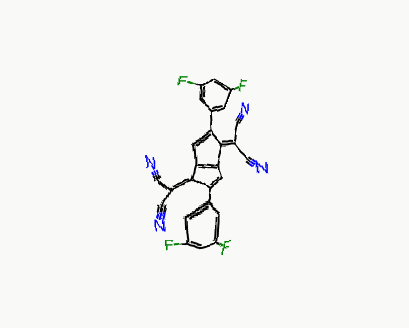 N#CC(C#N)=C1C(c2cc(F)cc(F)c2)=CC2=C1C=C(c1cc(F)cc(F)c1)C2=C(C#N)C#N